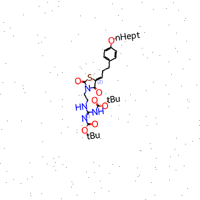 CCCCCCCOc1ccc(CC/C=C2\SC(=O)N(CCN/C(=N/C(=O)OC(C)(C)C)NC(=O)OC(C)(C)C)C2=O)cc1